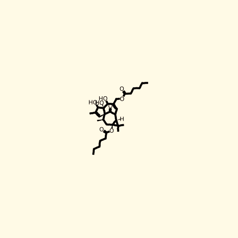 CCCCCC(=O)OCC1=CC2C(=O)[C@]3(C=C(C)C(O)[C@@]3(O)C1O)[C@H](C)C[C@]1(OC(=O)CCCCC)[C@@H]2C1(C)C